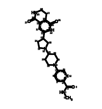 CNC(=O)c1ccc(N2CCC(N3CCC(c4cc5c(c(=O)[nH]4)CCNC5=O)C3)CC2)cn1